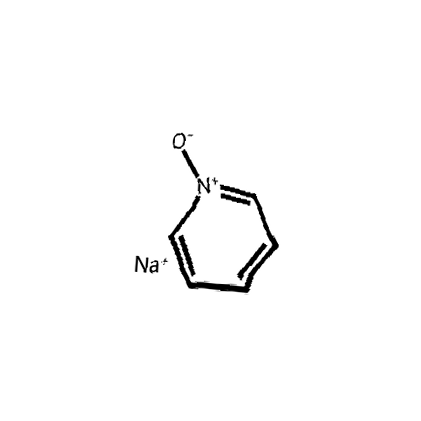 [Na+].[O-][n+]1ccccc1